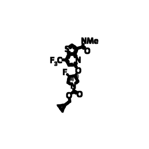 CNC(=O)c1csc2c(C(F)(F)F)cc(O[C@H]3CN(C(=O)OCC4CC4)C[C@H]3F)nc12